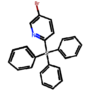 Brc1ccc([Si](c2ccccc2)(c2ccccc2)c2ccccc2)nc1